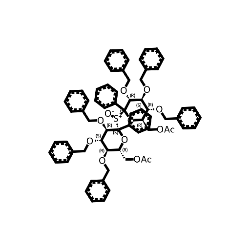 CC(=O)OC[C@H]1O[C@@](c2ccccc2)([S+]([O-])[C@]2(c3ccccc3)O[C@H](COC(C)=O)[C@@H](OCc3ccccc3)[C@H](OCc3ccccc3)[C@H]2OCc2ccccc2)[C@H](OCc2ccccc2)[C@@H](OCc2ccccc2)[C@@H]1OCc1ccccc1